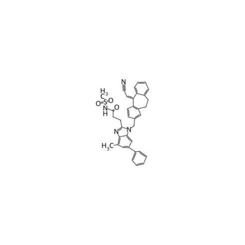 Cc1cc(-c2ccccc2)cc2c1nc(CCC(=O)NS(C)(=O)=O)n2Cc1ccc2c(c1)CCc1ccccc1/C2=C\C#N